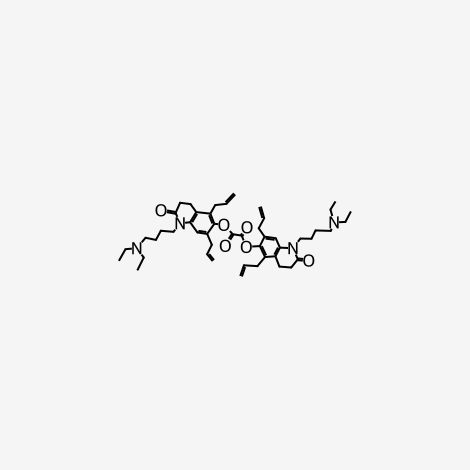 C=CCc1cc2c(c(CC=C)c1OC(=O)C(=O)Oc1c(CC=C)cc3c(c1CC=C)CCC(=O)N3CCCCN(CC)CC)CCC(=O)N2CCCCN(CC)CC